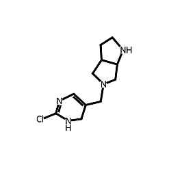 ClC1=NC=C(CN2CC3CCNC3C2)CN1